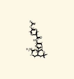 CC1(C)CC2CSC(N)=N[C@]2(c2nc(NC(=O)c3cnc(OC(F)F)cn3)cs2)CO1